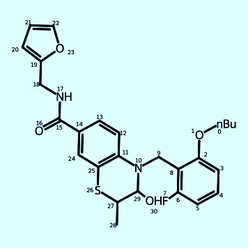 CCCCOc1cccc(F)c1CN1c2ccc(C(=O)NCc3ccco3)cc2SC(C)C1O